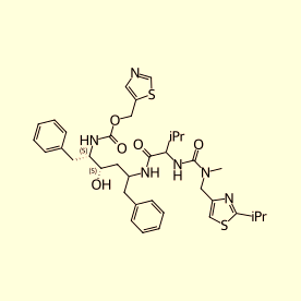 CC(C)c1nc(CN(C)C(=O)NC(C(=O)NC(Cc2ccccc2)C[C@H](O)[C@H](Cc2ccccc2)NC(=O)OCc2cncs2)C(C)C)cs1